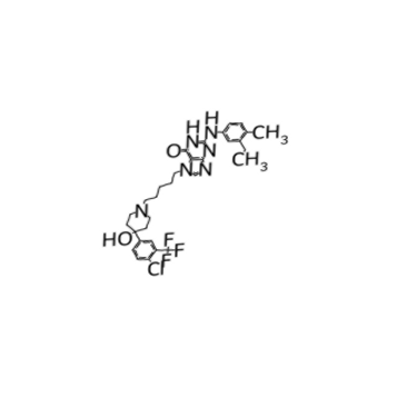 CCc1cc(Nc2nc3ncn(CCCCCN4CCC(O)(c5ccc(Cl)c(C(F)(F)F)c5)CC4)c3c(=O)[nH]2)ccc1C